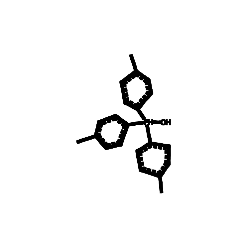 Cc1ccc([PH](O)(c2ccc(C)cc2)c2ccc(C)cc2)cc1